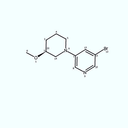 CO[C@H]1CCCN(c2cncc(Br)c2)C1